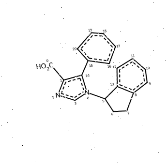 O=C(O)c1ncn(C2CCc3ccccc32)c1-c1ccccc1